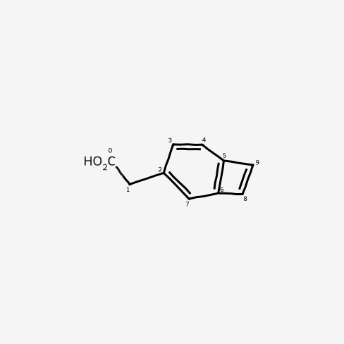 O=C(O)Cc1ccc2c(c1)C=C2